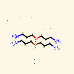 NCCCOCCCN.NCCCSCCCN